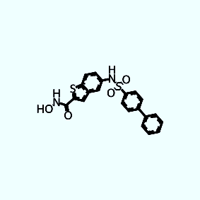 O=C(NO)c1cc2cc(NS(=O)(=O)c3ccc(-c4ccccc4)cc3)ccc2s1